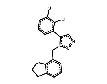 Clc1cccc(-c2cnnn2Cc2cccc3c2OCC3)c1Cl